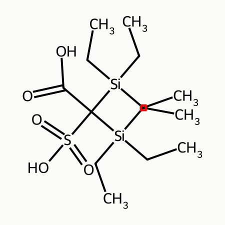 CC[Si](CC)(CC)C(C(=O)O)([Si](CC)(CC)CC)S(=O)(=O)O